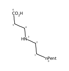 CCCCCCCNCCC(=O)O